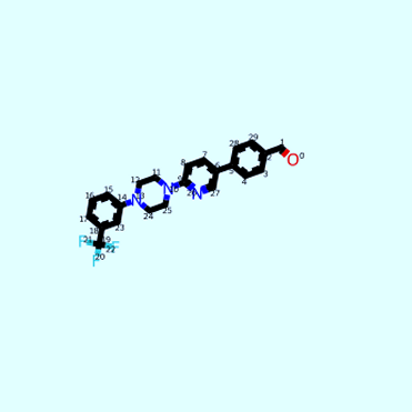 O=Cc1ccc(-c2ccc(N3CCN(c4cccc(C(F)(F)F)c4)CC3)nc2)cc1